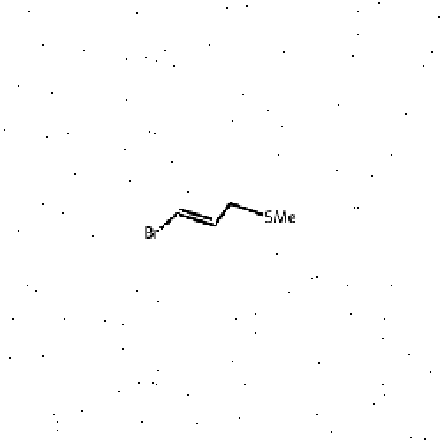 CSC/C=C/Br